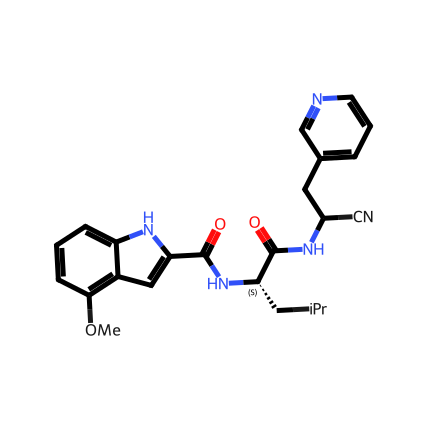 COc1cccc2[nH]c(C(=O)N[C@@H](CC(C)C)C(=O)NC(C#N)Cc3cccnc3)cc12